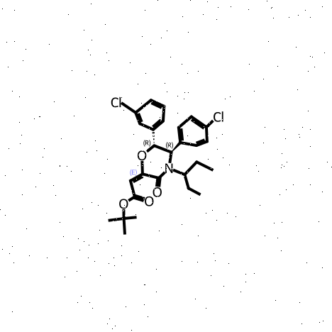 CCC(CC)N1C(=O)/C(=C\C(=O)OC(C)(C)C)O[C@H](c2cccc(Cl)c2)[C@H]1c1ccc(Cl)cc1